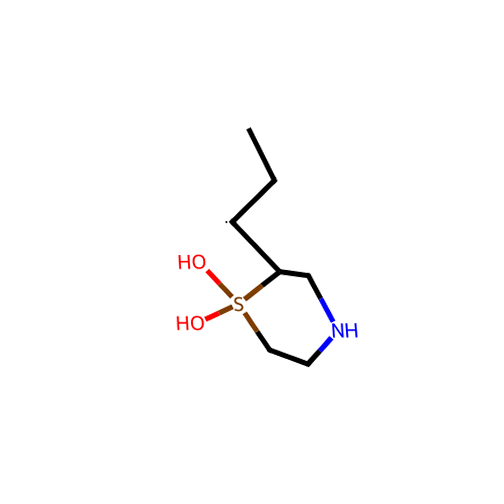 CC[CH]C1CNCCS1(O)O